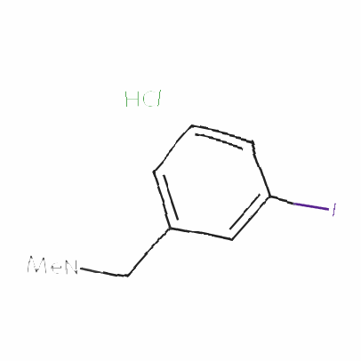 CNCc1cccc(I)c1.Cl